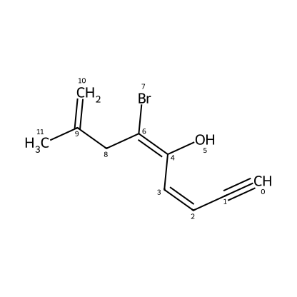 C#C/C=C\C(O)=C(\Br)CC(=C)C